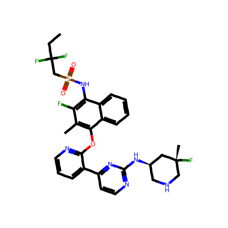 CCC(F)(F)CS(=O)(=O)Nc1c(F)c(C)c(Oc2ncccc2-c2ccnc(N[C@@H]3CNC[C@@](C)(F)C3)n2)c2ccccc12